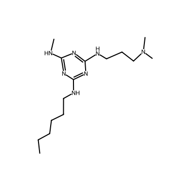 CCCCCCNc1nc(NC)nc(NCCCN(C)C)n1